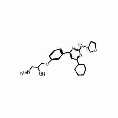 CNCC(O)COc1cccc(-c2cc(C3CCCCC3)nc(N[C@H]3CCOC3)n2)c1